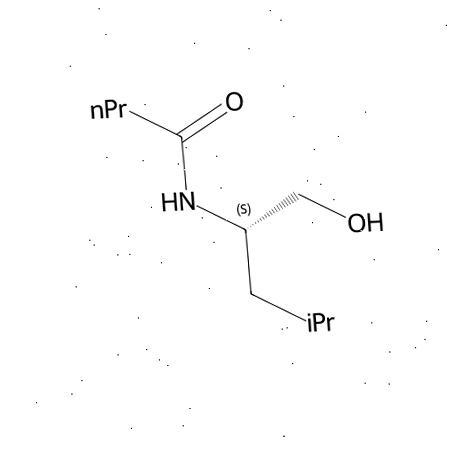 CCCC(=O)N[C@H](CO)CC(C)C